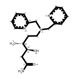 C[C@H](CCN(Cc1ccccn1)Cc1ccccn1)[C@@H](O)CC(N)=O